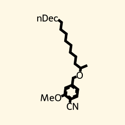 CCCCCCCCCCCCCCCCCCC(C)OCc1ccc(C#N)c(OC)c1